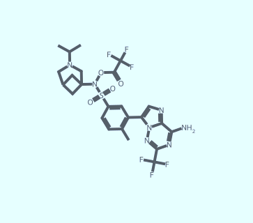 Cc1ccc(S(=O)(=O)N(OC(=O)C(F)(F)F)C23CC(CN(C(C)C)C2)C3)cc1-c1cnc2c(N)nc(C(F)(F)F)nn12